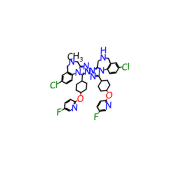 CN1Cc2cc(Cl)ccc2-n2c(nnc2C2CCC(Oc3ccc(F)cn3)CC2)C1.Fc1ccc(OC2CCC(c3nnc4n3-c3ccc(Cl)cc3CNC4)CC2)nc1